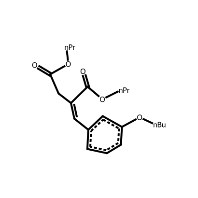 CCCCOc1cccc(C=C(CC(=O)OCCC)C(=O)OCCC)c1